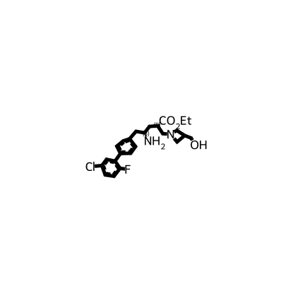 CCOC(=O)[C@@H](C[C@H](N)Cc1ccc(-c2cc(Cl)ccc2F)cc1)CN1CC(CO)C1